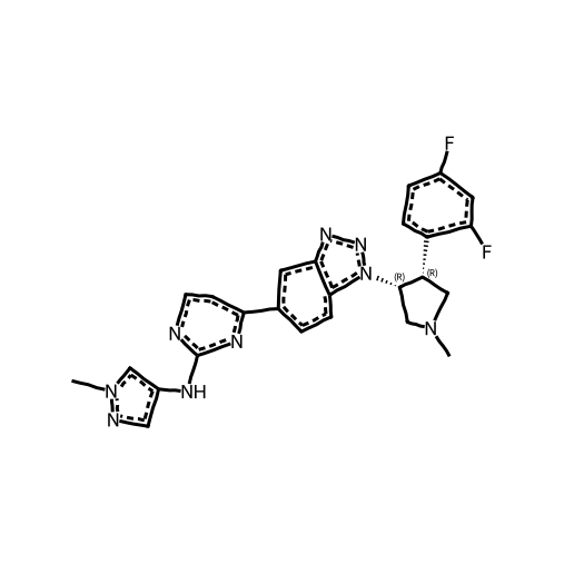 CN1C[C@@H](c2ccc(F)cc2F)[C@@H](n2nnc3cc(-c4ccnc(Nc5cnn(C)c5)n4)ccc32)C1